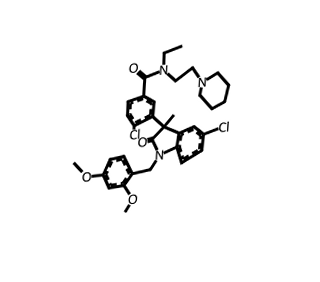 CCN(CCN1CCCCC1)C(=O)c1ccc(Cl)c(C2(C)C(=O)N(Cc3ccc(OC)cc3OC)c3ccc(Cl)cc32)c1